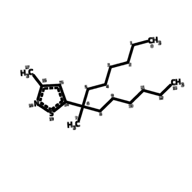 CCCCCCC(C)(CCCCCC)c1cc(C)ns1